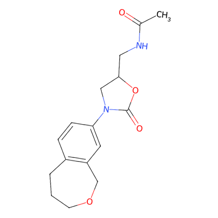 CC(=O)NCC1CN(c2ccc3c(c2)COCCC3)C(=O)O1